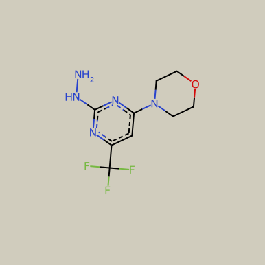 NNc1nc(N2CCOCC2)cc(C(F)(F)F)n1